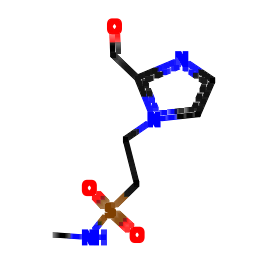 CNS(=O)(=O)CCn1ccnc1C=O